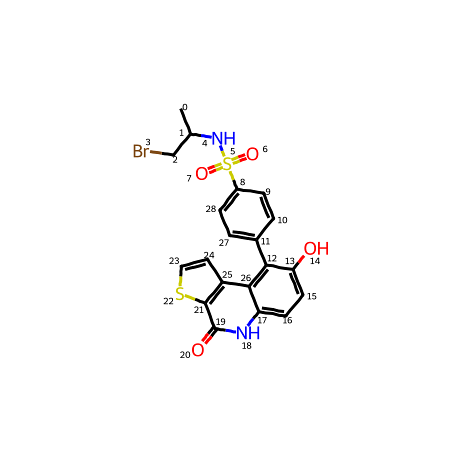 CC(CBr)NS(=O)(=O)c1ccc(-c2c(O)ccc3[nH]c(=O)c4sccc4c23)cc1